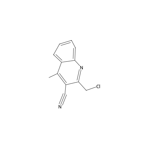 Cc1c(C#N)c(CCl)nc2ccccc12